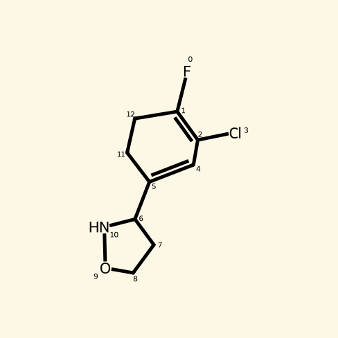 FC1=C(Cl)C=C(C2CCON2)CC1